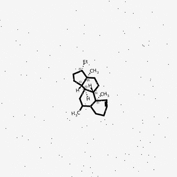 CC[C@H]1CC[C@H]2[C@@H]3CC(C)C4CCC=C[C@]4(C)[C@H]3CC[C@]12C